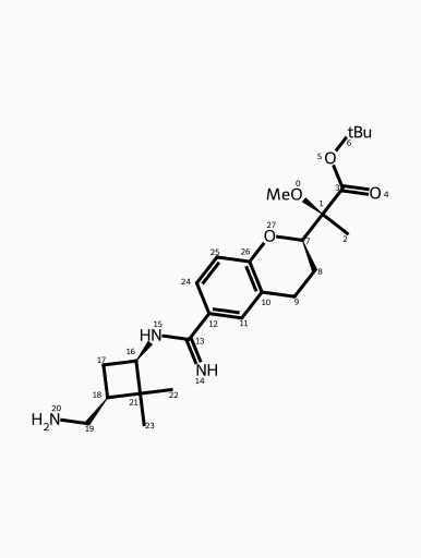 CO[C@](C)(C(=O)OC(C)(C)C)[C@H]1CCc2cc(C(=N)N[C@@H]3C[C@H](CN)C3(C)C)ccc2O1